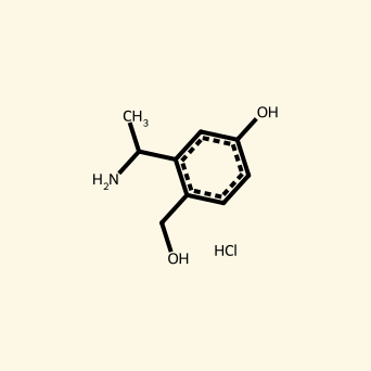 CC(N)c1cc(O)ccc1CO.Cl